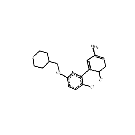 NC1=NCC(Cl)C(c2nc(NCC3CCOCC3)ccc2Cl)=C1